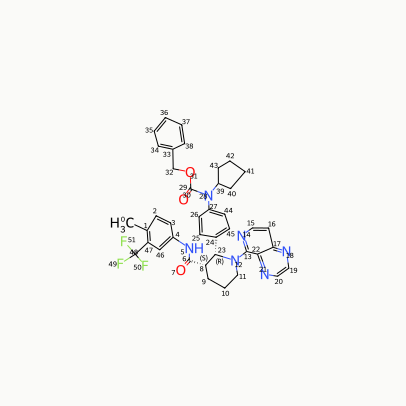 Cc1ccc(NC(=O)[C@H]2CCCN(c3nccc4nccnc34)[C@H]2c2ccc(N(C(=O)OCc3ccccc3)C3CCCC3)cc2)cc1C(F)(F)F